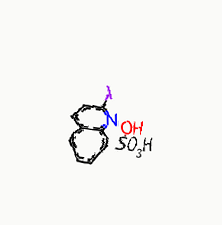 Ic1ccc2ccccc2n1.O=S(=O)(O)O